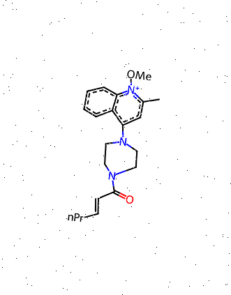 CCC/C=C/C(=O)N1CCN(c2cc(C)[n+](OC)c3ccccc23)CC1